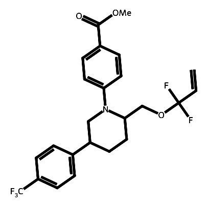 C=CC(F)(F)OCC1CCC(c2ccc(C(F)(F)F)cc2)CN1c1ccc(C(=O)OC)cc1